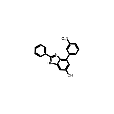 O=[N+]([O-])c1cccc(-c2cc(O)cc3[nH]c(-c4ccccc4)nc23)c1